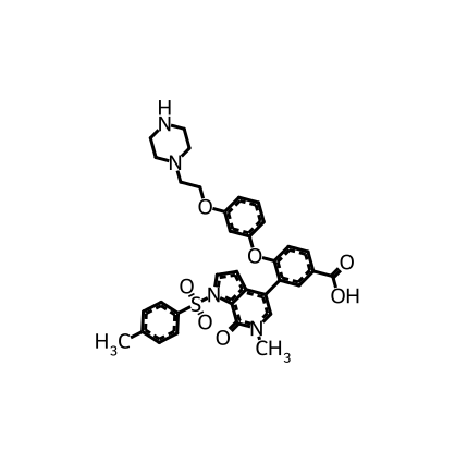 Cc1ccc(S(=O)(=O)n2ccc3c(-c4cc(C(=O)O)ccc4Oc4cccc(OCCN5CCNCC5)c4)cn(C)c(=O)c32)cc1